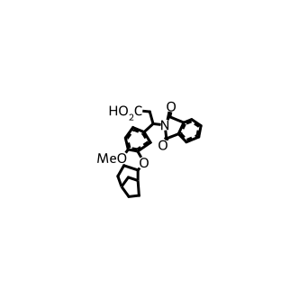 COc1ccc(C(CC(=O)O)N2C(=O)c3ccccc3C2=O)cc1OC1CCC2CCC1C2